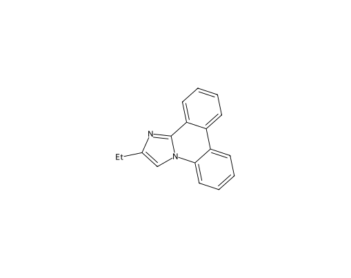 CCc1cn2c3ccccc3c3ccccc3c2n1